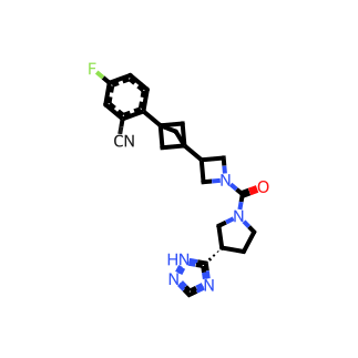 N#Cc1cc(F)ccc1C12CC(C3CN(C(=O)N4CC[C@H](c5ncn[nH]5)C4)C3)(C1)C2